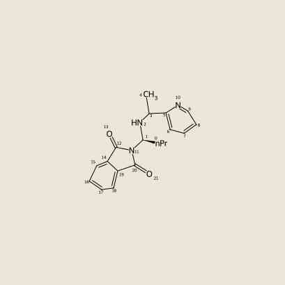 CCC[C@H](NC(C)c1ccccn1)N1C(=O)c2ccccc2C1=O